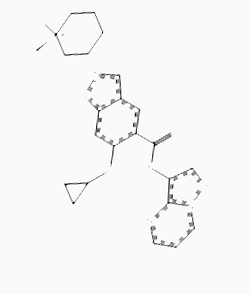 C[C@@]1(O)CCC[C@H](n2cc3cc(C(=O)Nc4cnn5cccnc45)c(OC4CC4)cc3n2)C1